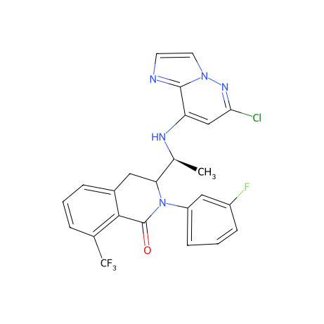 C[C@H](Nc1cc(Cl)nn2ccnc12)C1Cc2cccc(C(F)(F)F)c2C(=O)N1c1cccc(F)c1